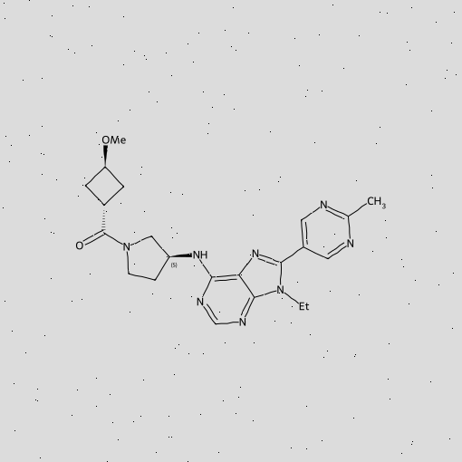 CCn1c(-c2cnc(C)nc2)nc2c(N[C@H]3CCN(C(=O)[C@H]4C[C@H](OC)C4)C3)ncnc21